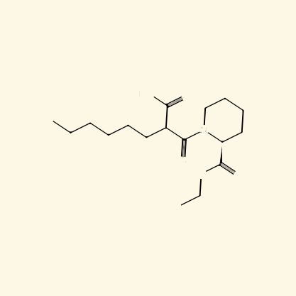 CCCCCCC(C(=O)O)C(=O)N1CCCC[C@H]1C(=O)OCC